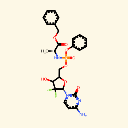 C[C@H](NP(=O)(OCC1O[C@@H](n2ccc(N)nc2=O)C(F)(F)C1O)Oc1ccccc1)C(=O)OCc1ccccc1